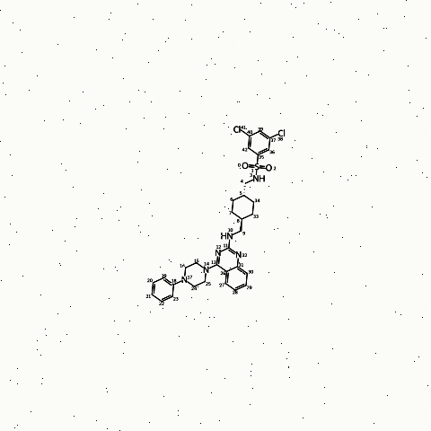 O=S(=O)(NC[C@H]1CC[C@H](CNc2nc(N3CCN(c4ccccc4)CC3)c3ccccc3n2)CC1)c1cc(Cl)cc(Cl)c1